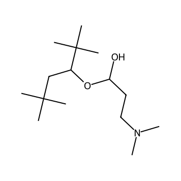 CN(C)CCC(O)OC(CC(C)(C)C)C(C)(C)C